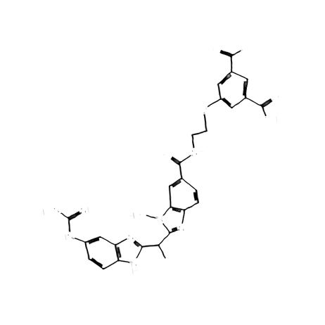 CC(c1nc2cc(NC(=N)N)ccc2[nH]1)c1nc2ccc(C(=O)NCCOc3cc(C(=O)O)cc(C(=O)O)c3)cc2n1C